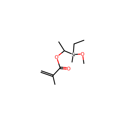 C=C(C)C(=O)OC(C)[Si](C)(CC)OC